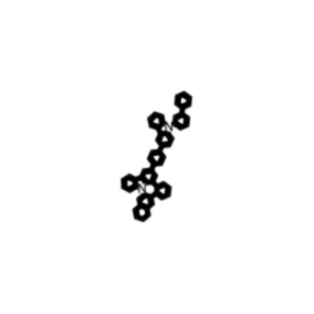 C1=Cc2cc3c(cc2CC1)-c1ccccc1-c1cc(-c2ccc(-c4ccc5c(c4)c4ccccc4n5-c4cccc(-c5ccccc5)c4)cc2)cc2c4ccccc4n-3c12